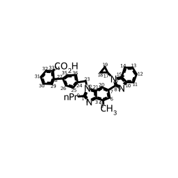 CCCc1nc2c(C)cc(-c3nc4ccccc4n3C3CC3)cc2n1Cc1ccc(-c2ccccc2C(=O)O)cc1